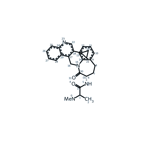 CNC(C)C(=O)N[C@H]1CCc2ccccc2N(Cc2c(C3CC3)cnc3ccccc23)C1=O